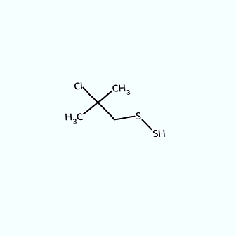 CC(C)(Cl)CSS